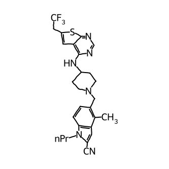 CCCn1c(C#N)cc2c(C)c(CN3CCC(Nc4ncnc5sc(CC(F)(F)F)cc45)CC3)ccc21